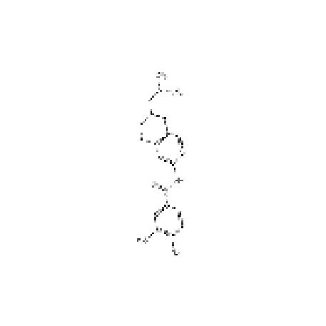 Cc1cc(C(=O)Nc2ccc3c(c2)CCC(CN(C)C)C3)ccc1Br